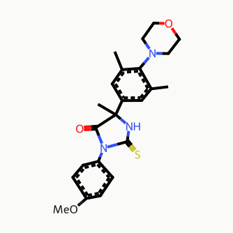 COc1ccc(N2C(=O)C(C)(c3cc(C)c(N4CCOCC4)c(C)c3)NC2=S)cc1